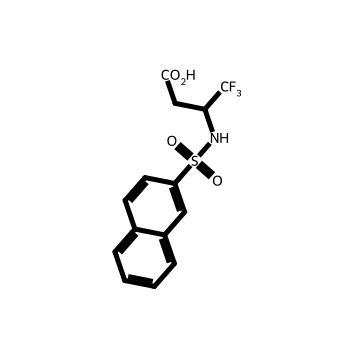 O=C(O)CC(NS(=O)(=O)c1ccc2ccccc2c1)C(F)(F)F